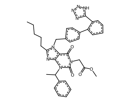 CCCCCc1nc2c(c(=O)n(CC(=O)OC)c(=O)n2C(C)c2ccccc2)n1Cc1ccc(-c2ccccc2-c2nnn[nH]2)cc1